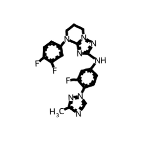 Cc1ncn(-c2ccc(Nc3nc4n(n3)CCCN4c3ccc(F)c(F)c3)cc2F)n1